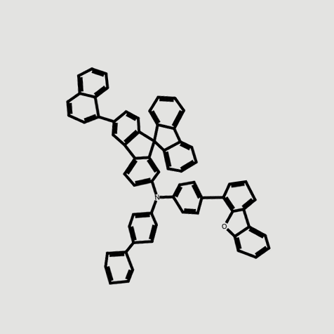 c1ccc(-c2ccc(N(c3ccc(-c4cccc5c4oc4ccccc45)cc3)c3ccc4c(c3)C3(c5ccccc5-c5ccccc53)c3ccc(-c5cccc6ccccc56)cc3-4)cc2)cc1